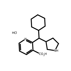 Cl.O=C(O)c1cccnc1C(C1CCCCC1)C1CCNC1